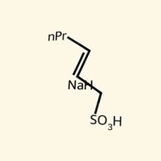 CCCC=CCS(=O)(=O)O.[NaH]